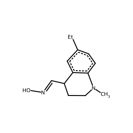 CCc1ccc2c(c1)C(C=NO)CCN2C